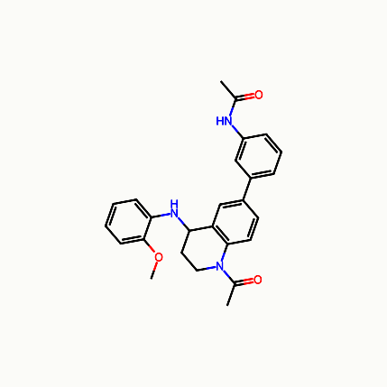 COc1ccccc1NC1CCN(C(C)=O)c2ccc(-c3cccc(NC(C)=O)c3)cc21